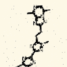 Cc1csc(-c2nc(CCc3nc4c(C)ncc(C)n4n3)n(C)n2)n1